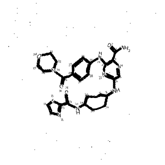 NC(=O)c1ncc(NC2CCC(NC(=O)c3nccs3)CC2)nc1Nc1ccc(C(=O)N2CCOCC2)cc1